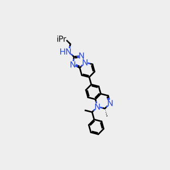 CC(C)CNc1nc2cc(-c3ccc4c(c3)C=N[C@H](C)N4C(C)c3ccccc3)ccn2n1